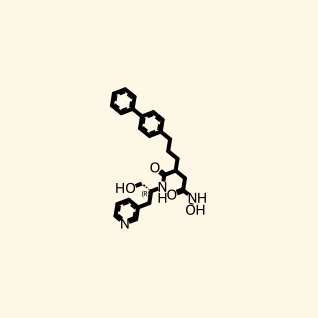 O=C(CC(CCCc1ccc(-c2ccccc2)cc1)C(=O)N[C@@H](CO)Cc1cccnc1)NO